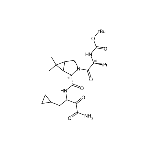 CC(C)[C@H](NC(=O)OC(C)(C)C)C(=O)N1CC2C([C@H]1C(=O)NC(CC1CC1)C(=O)C(N)=O)C2(C)C